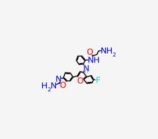 NCCC(=O)Nc1ccccc1/N=c1\cc(-c2ccc3nc(N)oc3c2)oc2ccc(F)cc12